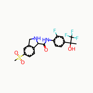 CC(O)(c1ccc(NC(=O)C2NCc3cc(S(C)(=O)=O)ccc32)c(F)c1)C(F)(F)F